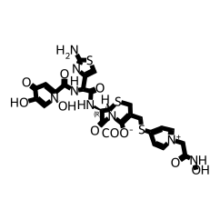 Nc1nc(C(NC(=O)c2cc(=O)c(O)cn2O)C(=O)N[C@@H]2C(=O)N3C(C(=O)[O-])=C(CSc4cc[n+](CC(=O)NO)cc4)CS[C@H]23)cs1